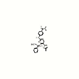 Cc1cnc(-c2cnc(Nc3ccc(C(=O)N(C)C)cc3)nc2N[C@H](CO)c2ccccc2)o1